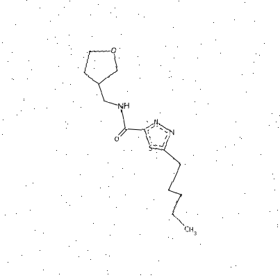 CCCCCc1nnc(C(=O)NCC2CCOC2)s1